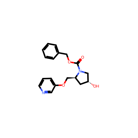 O=C(OCc1ccccc1)N1C[C@H](O)C[C@H]1COc1cccnc1